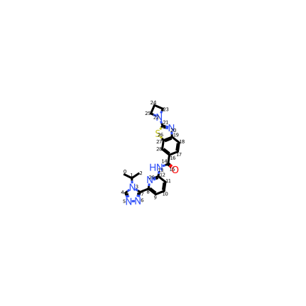 CC(C)n1cnnc1-c1cccc(NC(=O)c2ccc3nc(N4CCC4)sc3c2)n1